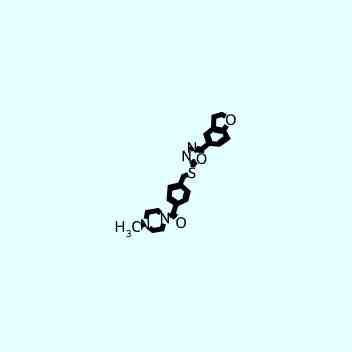 CN1CCN(C(=O)c2ccc(CSc3nnc(-c4ccc5c(c4)CCO5)o3)cc2)CC1